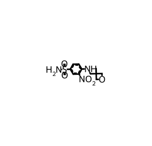 CC1(CNc2ccc(S(N)(=O)=O)cc2[N+](=O)[O-])COC1